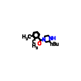 CCCCC1CN(C(=O)c2cccc(C)c2C)CCN1